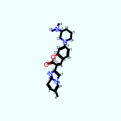 Cc1ccc2nc(-c3cc4ccc(N5CCCC(N(C)C)C5)cc4oc3=O)cn2c1